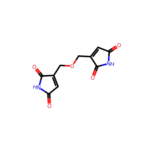 O=C1C=C(COCC2=CC(=O)NC2=O)C(=O)N1